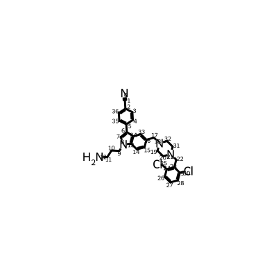 N#Cc1ccc(-c2cn(CCCN)c3ccc(CN4CCN(Cc5c(Cl)cccc5Cl)CC4)cc23)cc1